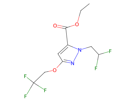 CCOC(=O)c1cc(OCC(F)(F)F)nn1CC(F)F